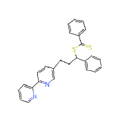 S=C(SC(CCc1ccc(-c2ccccn2)nc1)c1ccccc1)c1ccccc1